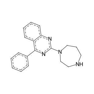 c1ccc(-c2nc(N3CCCNCC3)nc3ccccc23)cc1